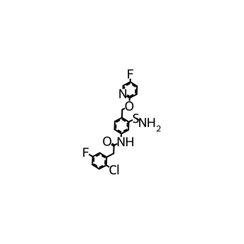 NSc1cc(NC(=O)Cc2cc(F)ccc2Cl)ccc1COc1ccc(F)cn1